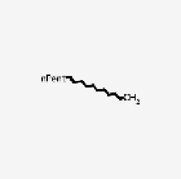 [CH2]CCCCC=CCCCCCCCC=C